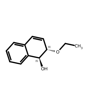 CCO[C@H]1C=Cc2ccccc2[C@@H]1O